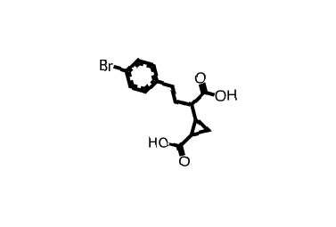 O=C(O)C(CCc1ccc(Br)cc1)C1CC1C(=O)O